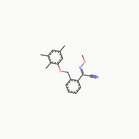 CON=C(C#N)c1ccccc1COc1cc(C)cc(C)c1C